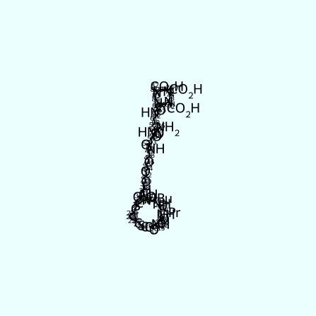 CC[C@H](C)[C@@H]1NC(=O)[C@H](CC(C)C)NC(=O)C2(CCCCC2)NC(=O)CCSCc2cccc(c2)CSC[C@@H](C(=O)NCCCOCCOCCOCCCNC(=O)CCC(=O)N[C@@H](CCCCNC(=O)CN2CCN(CC(=O)O)CCN(CC(=O)O)CCN(CC(=O)O)CC2)C(N)=O)NC1=O